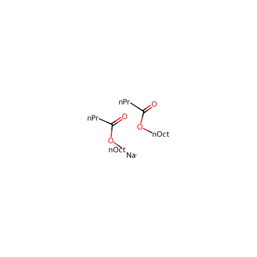 CCCCCCCCOC(=O)CCC.CCCCCCCCOC(=O)CCC.[Na]